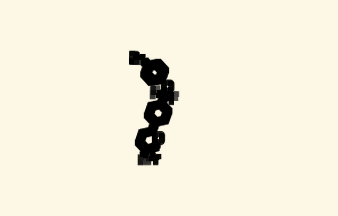 CCCC1CCC(C2CCC(C(F)(F)Oc3ccc(Br)cc3)CC2)OC1